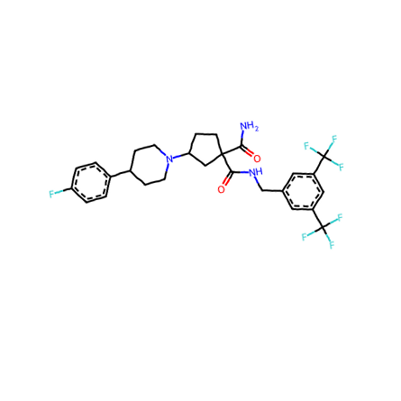 NC(=O)C1(C(=O)NCc2cc(C(F)(F)F)cc(C(F)(F)F)c2)CCC(N2CCC(c3ccc(F)cc3)CC2)C1